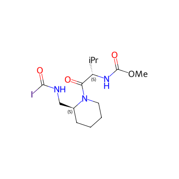 COC(=O)N[C@H](C(=O)N1CCCC[C@H]1CNC(=O)I)C(C)C